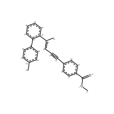 COC(=O)c1ccc(C#C/C=C(\C)c2ccccc2-c2ccc(C)cc2)cc1